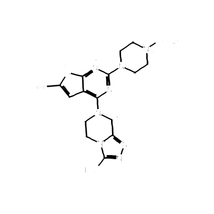 CCCc1cc2c(N3CCn4c(nnc4C(F)(F)F)C3)nc(N3CCN(C(=O)OCC)CC3)nc2s1